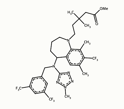 COC(=O)CC(C)(C)CCN1CCCC(N(Cc2cc(C(F)(F)F)cc(C(F)(F)F)c2)c2nnn(C)n2)c2cc(C)c(C(F)(F)F)c(C)c21